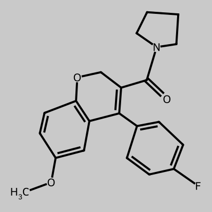 COc1ccc2c(c1)C(c1ccc(F)cc1)=C(C(=O)N1CCCC1)CO2